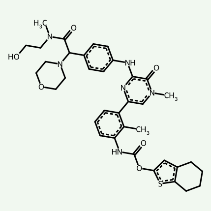 Cc1c(NC(=O)Oc2cc3c(s2)CCCC3)cccc1-c1cn(C)c(=O)c(Nc2ccc(C(C(=O)N(C)CCO)N3CCOCC3)cc2)n1